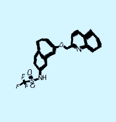 O=S(=O)(Nc1ccc2ccc(OCc3ccc4ccccc4n3)cc2c1)C(F)(F)F